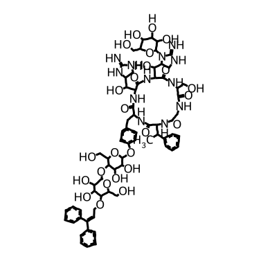 CC(c1ccccc1)C1NC(=O)CNC(=O)C(CO)NC(=O)C(C(O)C2CNC(=N)N2C2OC(CO)C(O)C(O)C2O)NC(=O)C(C(O)C2CNC(=N)N2)NC(=O)C(Cc2ccc(OC3OC(CO)C(OC4OC(CO)C(OCC=C(c5ccccc5)c5ccccc5)C(O)C4O)C(O)C3O)cc2)NC1=O